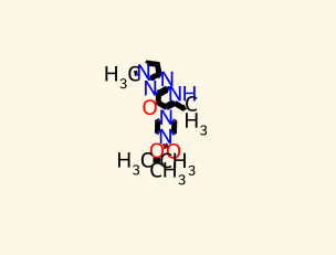 CCc1[nH]c2nc3c(nc2c(=O)c1N1CCN(C(=O)OC(C)(C)C)CC1)N(C)CC3